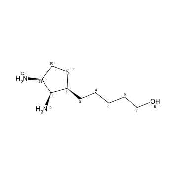 N[C@@H]1[C@H](CCCCCO)SC[C@@H]1N